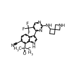 CP(C)(=O)c1c(C#N)ccc2c(-c3nc(NC4CCC45CNC5)ncc3C(F)(F)F)c[nH]c12